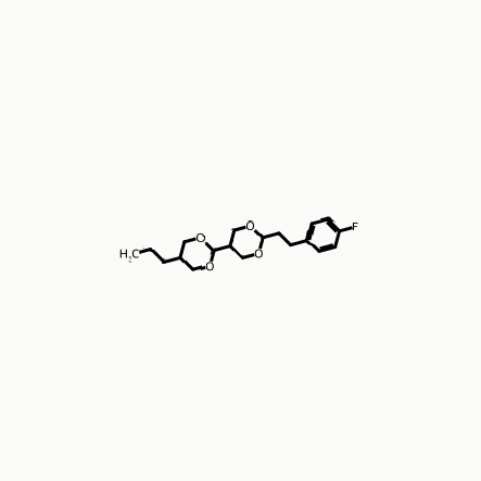 CCCC1COC(C2COC(CCc3ccc(F)cc3)OC2)OC1